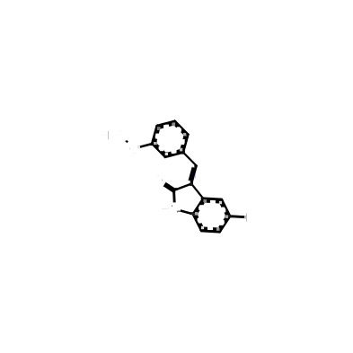 COc1cccc(/C=C2\C(=O)Nc3ccc(F)cc32)c1